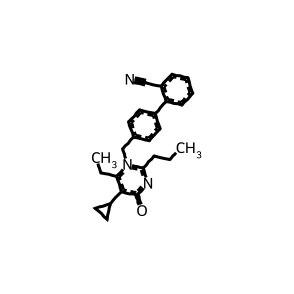 CCCc1nc(=O)c(C2CC2)c(CC)n1Cc1ccc(-c2ccccc2C#N)cc1